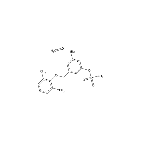 C=O.Cc1cccc(C)c1OCc1cc(OS(C)(=O)=O)cc(C(C)(C)C)c1